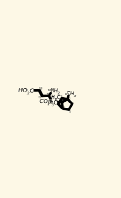 CC12CCC(CC1)C2(C)C.NC(CCC(=O)O)C(=O)O